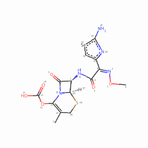 CO/N=C(\C(=O)N[C@@H]1C(=O)N2C(OC(=O)O)=C(C)CS[C@H]12)c1c[se]c(N)n1